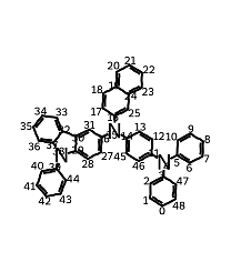 c1ccc(N(c2ccccc2)c2ccc(N(c3ccc4ccccc4c3)c3ccc4c(c3)c3ccccc3n4-c3ccccc3)cc2)cc1